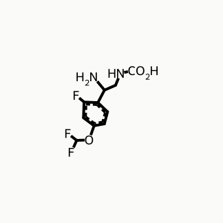 NC(CNC(=O)O)c1ccc(OC(F)F)cc1F